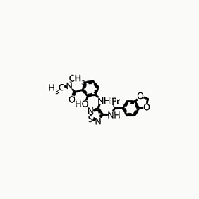 CC(C)[C@@H](Nc1nsnc1Nc1cccc(C(=O)N(C)C)c1O)c1ccc2c(c1)OCO2